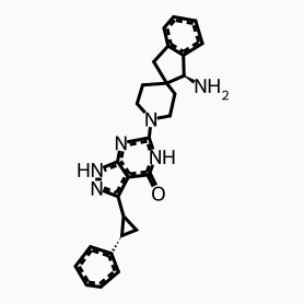 N[C@@H]1c2ccccc2CC12CCN(c1nc3[nH]nc(C4C[C@@H]4c4ccccc4)c3c(=O)[nH]1)CC2